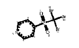 O=S(=O)(c1ccncc1)C(Br)(Br)Br